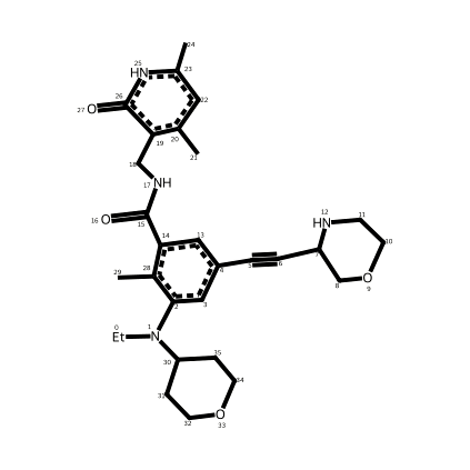 CCN(c1cc(C#CC2COCCN2)cc(C(=O)NCc2c(C)cc(C)[nH]c2=O)c1C)C1CCOCC1